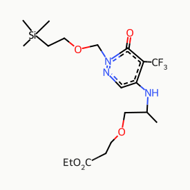 CCOC(=O)CCOCC(C)Nc1cnn(COCC[Si](C)(C)C)c(=O)c1C(F)(F)F